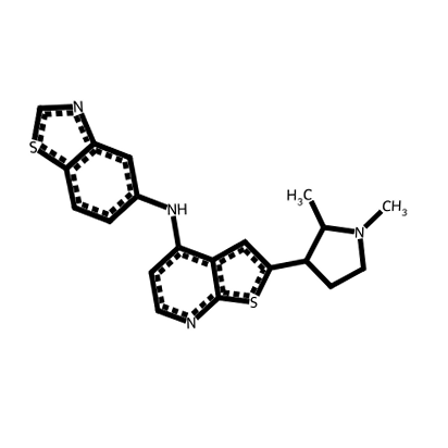 CC1C(c2cc3c(Nc4ccc5scnc5c4)ccnc3s2)CCN1C